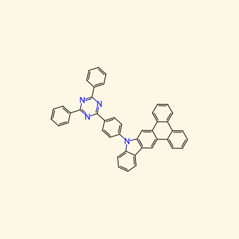 c1ccc(-c2nc(-c3ccccc3)nc(-c3ccc(-n4c5ccccc5c5cc6c7ccccc7c7ccccc7c6cc54)cc3)n2)cc1